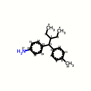 CCC(CC)C(c1ccc(C)cc1)c1ccc(N)cc1